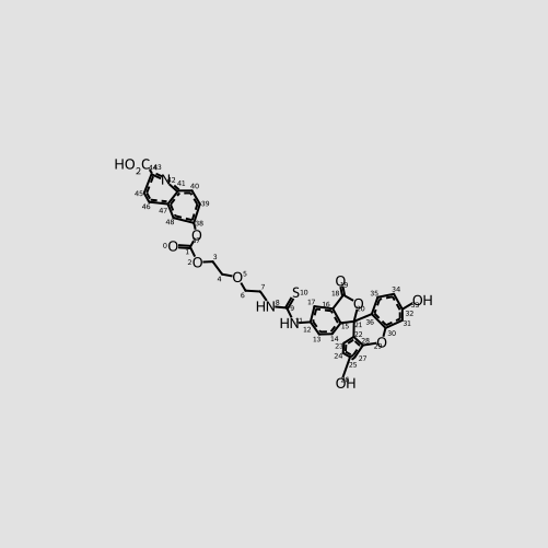 O=C(OCCOCCNC(=S)Nc1ccc2c(c1)C(=O)OC21c2ccc(O)cc2Oc2cc(O)ccc21)Oc1ccc2nc(C(=O)O)ccc2c1